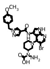 COc1ccc(Cn2cc(C(=O)Nc3c[nH]c4ncc(Br)c(N5CCC[C@@H](N(N)C(=O)O)C5)c34)cn2)cc1